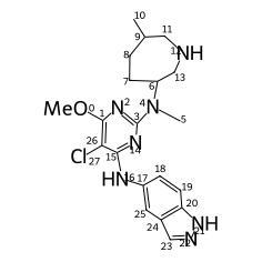 COc1nc(N(C)C2CCC(C)CNC2)nc(Nc2ccc3[nH]ncc3c2)c1Cl